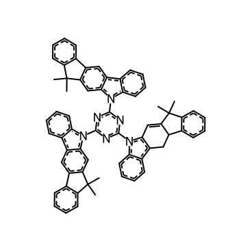 CC1(C)C2=Cc3c(c4ccccc4n3-c3nc(-n4c5ccccc5c5cc6c(cc54)C(C)(C)c4ccccc4-6)nc(-n4c5ccccc5c5cc6c(cc54)C(C)(C)c4ccccc4-6)n3)CC2c2ccccc21